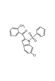 Cc1ccccc1C(=O)c1cc2ccc(Cl)cc2n1S(=O)(=O)c1ccccc1